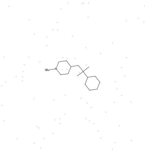 CC(C)(CC1CCN(C(C)(C)C)CC1)C1CCCCC1